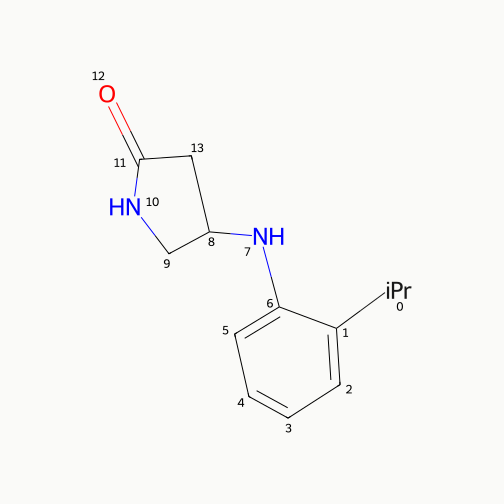 CC(C)c1ccccc1NC1CNC(=O)C1